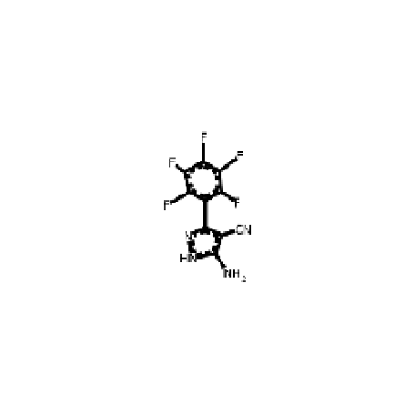 N#Cc1c(-c2c(F)c(F)c(F)c(F)c2F)n[nH]c1N